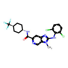 Cn1c(Nc2c(Cl)cccc2Cl)nc2cc(C(=O)N[C@H]3CC[C@H](C(F)(F)F)CC3)ncc21